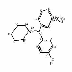 Cl.Fc1ccc(C(c2ccccc2)N2CCCCC2)cc1